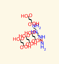 NCCNCCNCCN.O=C(O)C=CC(=O)O.O=C(O)C=CC(=O)O.O=C(O)C=CC(=O)O.O=C(O)C=CC(=O)O